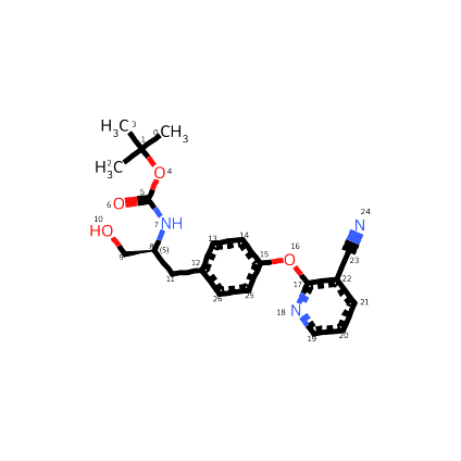 CC(C)(C)OC(=O)N[C@H](CO)Cc1ccc(Oc2ncccc2C#N)cc1